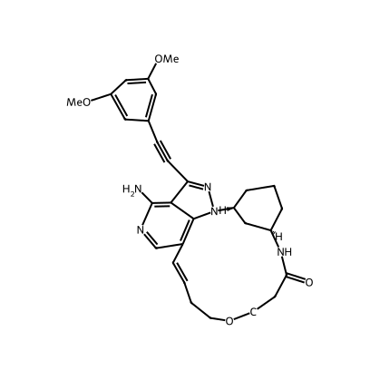 COc1cc(C#Cc2nn3c4c(cnc(N)c24)/C=C/CCOCCC(=O)N[C@@H]2CCC[C@@H]3C2)cc(OC)c1